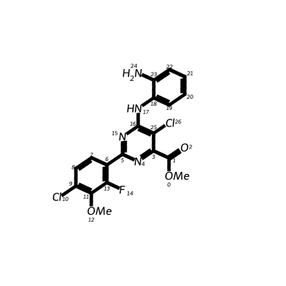 COC(=O)c1nc(-c2ccc(Cl)c(OC)c2F)nc(Nc2ccccc2N)c1Cl